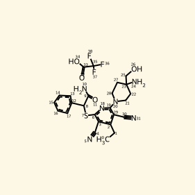 CCc1c(C#N)c(SC(C(N)=O)c2ccccc2)nc(N2CCC(N)(CO)CC2)c1C#N.O=C(O)C(F)(F)F